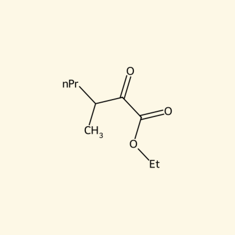 CCCC(C)C(=O)C(=O)OCC